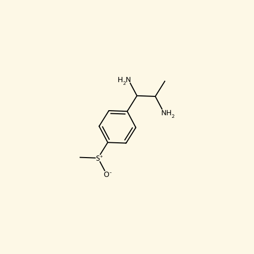 CC(N)C(N)c1ccc([S+](C)[O-])cc1